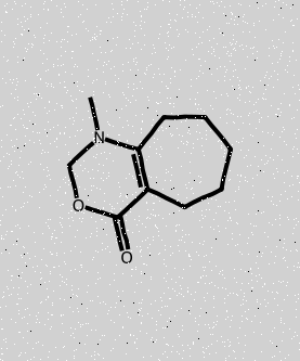 CN1COC(=O)C2=C1CCCCC2